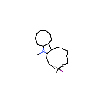 CN1C2CCCCCCCC2C2CCCCCCC(C)(I)CCCC21